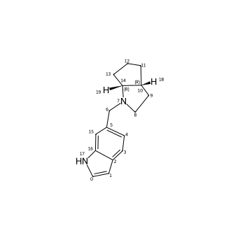 c1cc2ccc(CN3CC[C@H]4CCC[C@H]43)cc2[nH]1